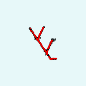 CCCCCCCC/C=C\CCCCCCCC(=O)OCC(COC(=O)CCCCCCC/C=C/CCCCCCCC(=O)OC(COC(=O)CCCCCCC/C=C/CCCCCCCC)COC(=O)CCCCCCCCCCCCCCCCC)OC(=O)CCCCCCC/C=C/CCCCCCCC(=O)O